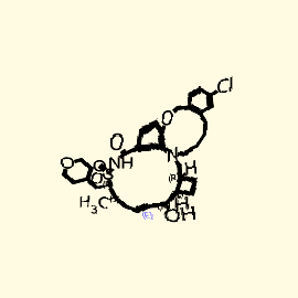 C[C@H]1C/C=C/[C@H](O)[C@@H]2CC[C@H]2CN2CCCCc3cc(Cl)ccc3COc3ccc(cc32)C(=O)NS(=O)(=O)[C@@H]1CC1CCOCC1